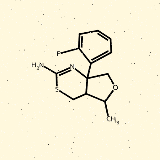 CC1OCC2(c3ccccc3F)N=C(N)SCC12